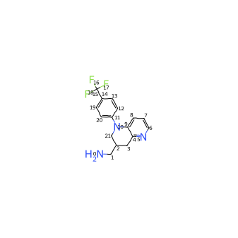 NCC1Cc2ncccc2N(c2ccc(C(F)(F)F)cc2)C1